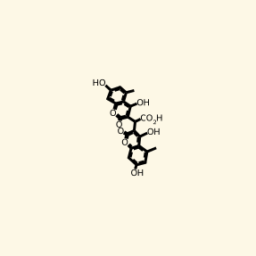 Cc1cc(O)cc2oc(=O)c(C(C(=O)O)c3c(O)c4c(C)cc(O)cc4oc3=O)c(O)c12